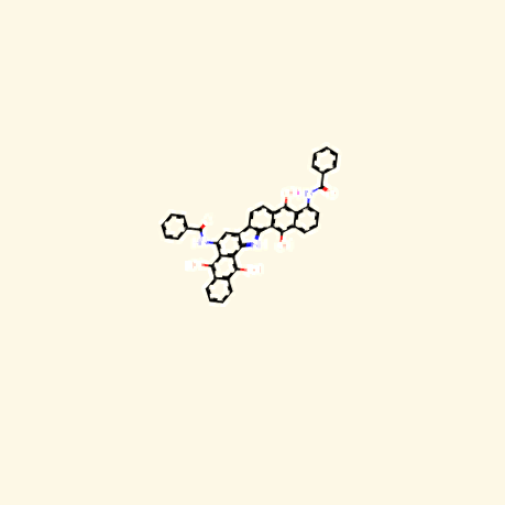 O=C(Nc1cccc2c(O)c3c(ccc4c5cc(NC(=O)c6ccccc6)c6c(O)c7ccccc7c(O)c6c5[nH]c43)c(O)c12)c1ccccc1